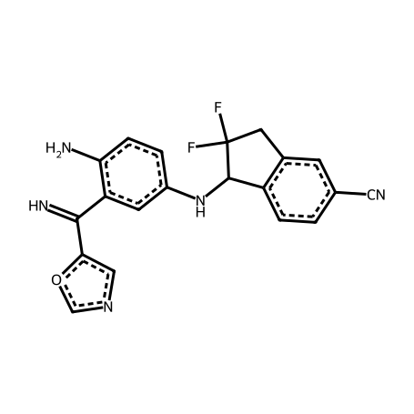 N#Cc1ccc2c(c1)CC(F)(F)C2Nc1ccc(N)c(C(=N)c2cnco2)c1